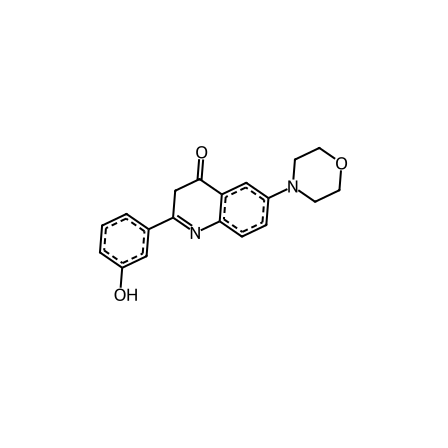 O=C1CC(c2cccc(O)c2)=Nc2ccc(N3CCOCC3)cc21